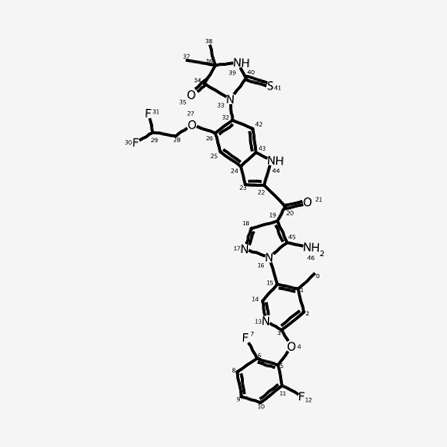 Cc1cc(Oc2c(F)cccc2F)ncc1-n1ncc(C(=O)c2cc3cc(OCC(F)F)c(N4C(=O)C(C)(C)NC4=S)cc3[nH]2)c1N